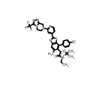 CCOC(=O)[C@@H](OC(C)(C)C)c1c(C)cc2nc(-c3ccnc(N4CCn5c(nnc5C(F)(F)F)C4)c3)sc2c1-c1ccc(Cl)cc1